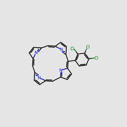 Clc1ccc(C2=C3C=CC(=N3)C=C3C=CC(=N3)C=C3C=CC(=N3)C=C3C=CC2=N3)c(Cl)c1Cl